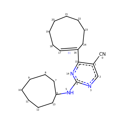 N#Cc1cnc(NC2CCCCCCC2)nc1/C1=C/CCCCCCC1